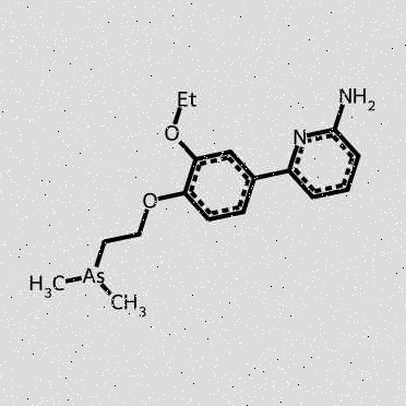 CCOc1cc(-c2cccc(N)n2)ccc1OCC[As](C)C